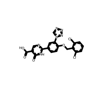 O=C(O)c1cnc(-c2ccc(OCc3c(Cl)cccc3Cl)c(-n3cnnn3)c2)[nH]c1=O